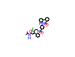 CC(C)NC(=O)/C=C1/c2ccccc2N(C(=O)c2ccc(NC(=O)c3ccccc3-c3ccccc3)cc2)CCC1(F)F